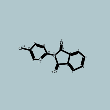 O=C1c2ccccc2C(=O)N1c1ccc(Cl)cn1